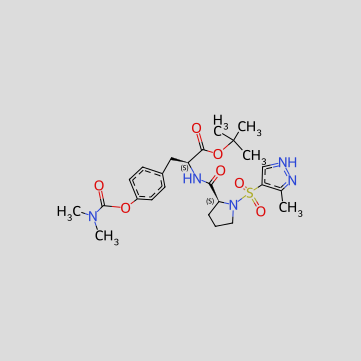 Cc1n[nH]cc1S(=O)(=O)N1CCC[C@H]1C(=O)N[C@@H](Cc1ccc(OC(=O)N(C)C)cc1)C(=O)OC(C)(C)C